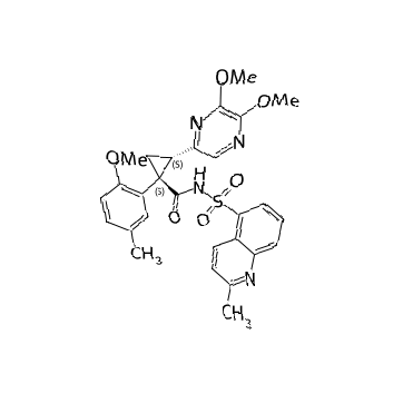 COc1ccc(C)cc1[C@]1(C(=O)NS(=O)(=O)c2cccc3nc(C)ccc23)C[C@@H]1c1cnc(OC)c(OC)n1